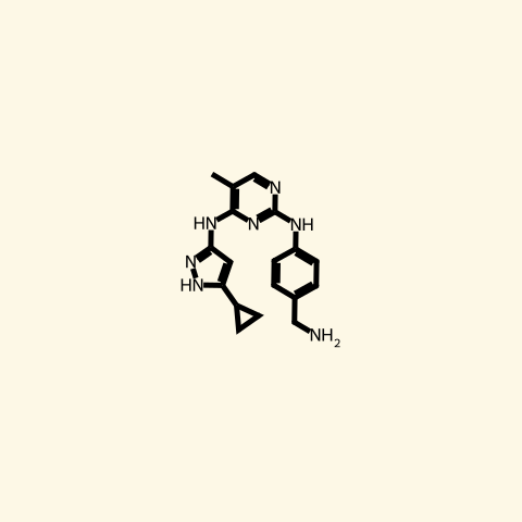 Cc1cnc(Nc2ccc(CN)cc2)nc1Nc1cc(C2CC2)[nH]n1